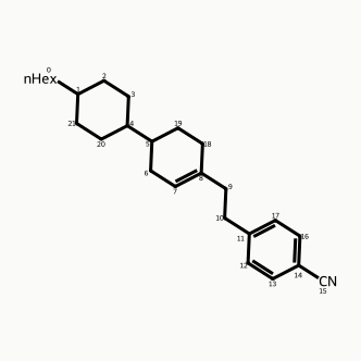 CCCCCCC1CCC(C2CC=C(CCc3ccc(C#N)cc3)CC2)CC1